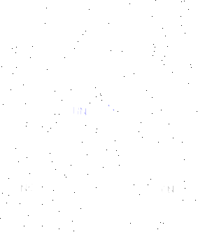 N#Cc1ccc(-c2cc(-c3ccc(C#N)cc3)cc(C3N=C(c4ccccc4)C(c4ccccc4)=C(c4ccccc4)N3)c2)cc1